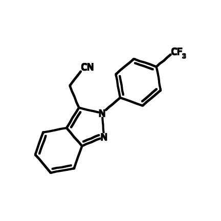 N#CCc1c2ccccc2nn1-c1ccc(C(F)(F)F)cc1